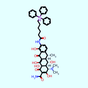 C[C@H]1c2ccc(NC(=O)CCCCC[PH](c3ccccc3)(c3ccccc3)c3ccccc3)c(O)c2C(=O)C2=C(O)[C@]3(O)C(=O)C(C(N)=O)=C(O)[C@@H](N(C)C)[C@@H]3[C@@H](O)[C@@H]21